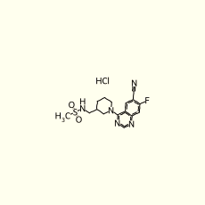 CS(=O)(=O)NCC1CCCN(c2ncnc3cc(F)c(C#N)cc23)C1.Cl